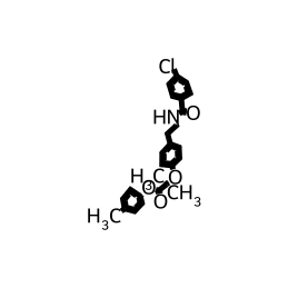 Cc1ccc(OC(=O)C(C)(C)Oc2ccc(CCNC(=O)c3ccc(Cl)cc3)cc2)cc1